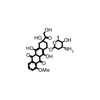 COc1cccc2c1C(=O)C1C(O)=C3C(=C(O)C1C2=O)C[C@@](O)(C(=O)CO)C[C@@H]3OC1C[C@H](N)[C@H](O)[C@H](C)O1